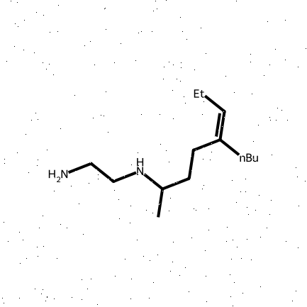 CCC=C(CCCC)CCC(C)NCCN